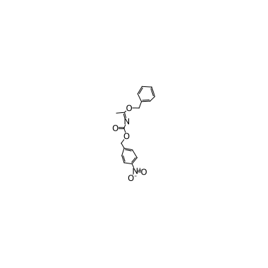 C/C(=N\C(=O)OCc1ccc([N+](=O)[O-])cc1)OCc1ccccc1